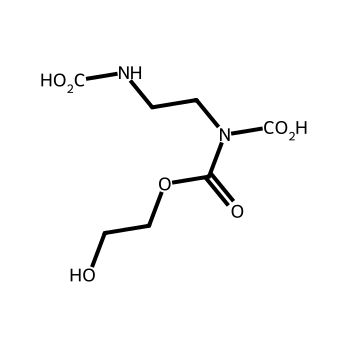 O=C(O)NCCN(C(=O)O)C(=O)OCCO